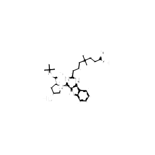 CC(C)(CCCc1nc(N2C[C@@H](O)C[C@H]2C(=O)OC(C)(C)C)c2oc3ccccc3c2n1)CCC(=O)O